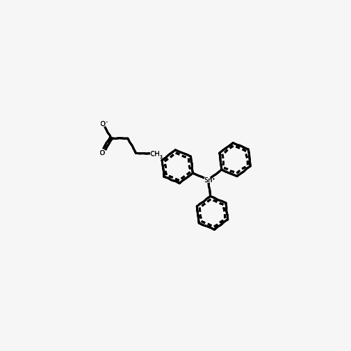 CCCC(=O)[O-].c1cc[c]([Sn+]([c]2ccccc2)[c]2ccccc2)cc1